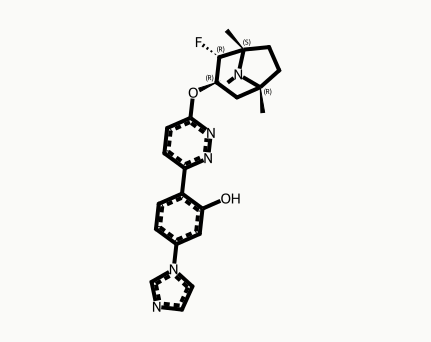 CN1[C@]2(C)CC[C@@]1(C)[C@@H](F)[C@H](Oc1ccc(-c3ccc(-n4ccnc4)cc3O)nn1)C2